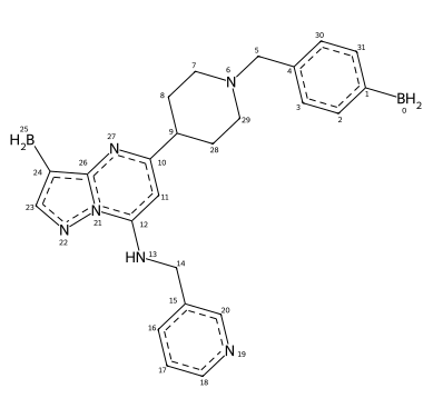 Bc1ccc(CN2CCC(c3cc(NCc4cccnc4)n4ncc(B)c4n3)CC2)cc1